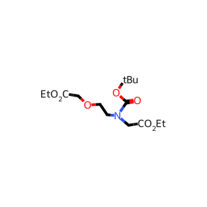 CCOC(=O)COCCN(CC(=O)OCC)C(=O)OC(C)(C)C